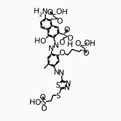 Cc1cc(N=Nc2c(S(=O)(=O)O)cc3c(S(=O)(=O)O)c(N)ccc3c2O)c(OCCCS(=O)(=O)O)cc1N=Nc1nnc(SCCS(=O)(=O)O)s1